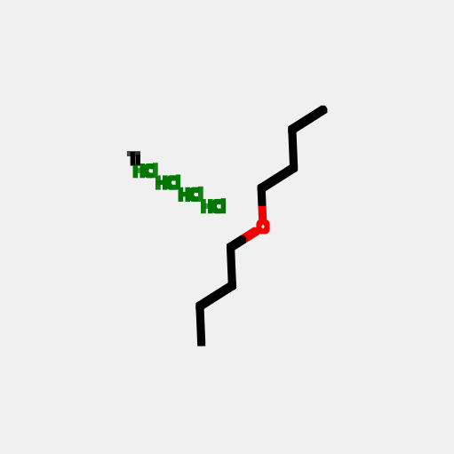 CCCCOCCCC.Cl.Cl.Cl.Cl.[Ti]